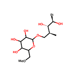 CC[C@@H](O)[C@@H](O)[C@@H](C)COC1OC(COC)C(O)C(O)C1O